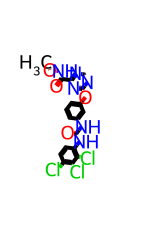 CONC(=O)c1ncnc(Oc2cccc(NC(=O)Nc3ccc(Cl)c(Cl)c3Cl)c2)n1